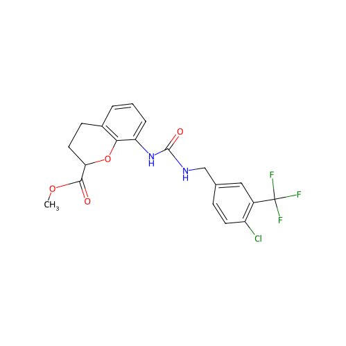 COC(=O)C1CCc2cccc(NC(=O)NCc3ccc(Cl)c(C(F)(F)F)c3)c2O1